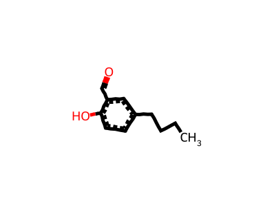 CCCCc1ccc(O)c(C=O)c1